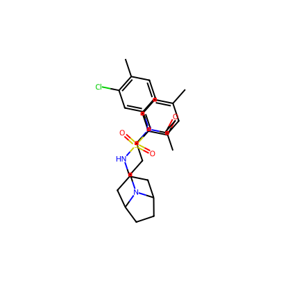 CC(=O)N(CCCN1C2CCC1CC(NS(=O)(=O)c1ccc(C)cc1)C2)c1ccc(C)c(Cl)c1